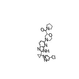 O=C(C1CN(c2ccc3nc(C4(n5cc(Cl)cn5)CC4)[nH]c3n2)CCO1)N1CCCC1